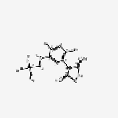 Cc1cc(F)c(N2C(=N)SCC2=O)cc1SCC(F)(F)F